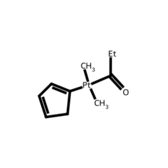 CC[C](=O)[Pt]([CH3])([CH3])[C]1=CC=CC1